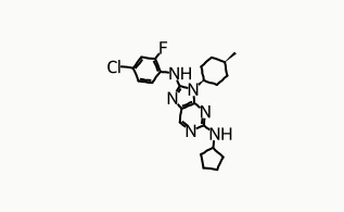 C[C@H]1CC[C@@H](n2c(Nc3ccc(Cl)cc3F)nc3cnc(NC4CCCC4)nc32)CC1